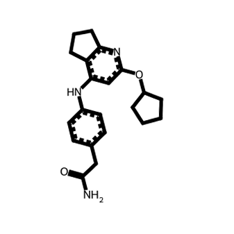 NC(=O)Cc1ccc(Nc2cc(OC3CCCC3)nc3c2CCC3)cc1